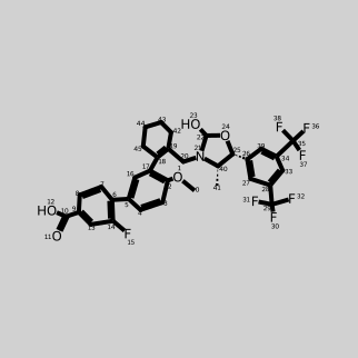 COc1ccc(-c2ccc(C(=O)O)cc2F)cc1C1=C(CN2C(O)O[C@H](c3cc(C(F)(F)F)cc(C(F)(F)F)c3)[C@@H]2C)CCCC1